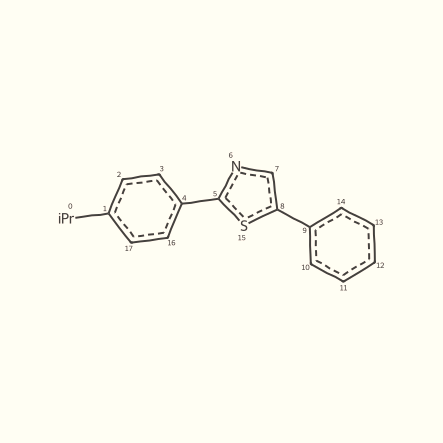 CC(C)c1ccc(-c2ncc(-c3ccccc3)s2)cc1